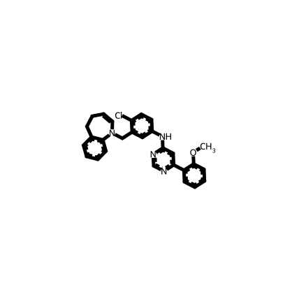 COc1ccccc1-c1cc(Nc2ccc(Cl)c(CN3C=CCCc4ccccc43)c2)ncn1